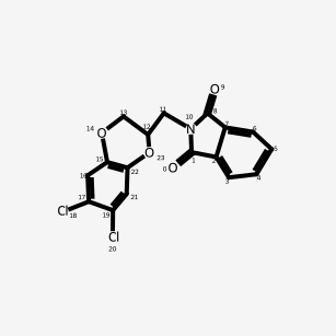 O=C1c2ccccc2C(=O)N1CC1COc2cc(Cl)c(Cl)cc2O1